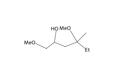 CCC(C)(CC(O)COC)OC